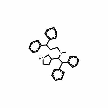 CN(CCC(c1ccccc1)c1ccccc1)C(C1CCNC1)C(c1ccccc1)c1ccccc1